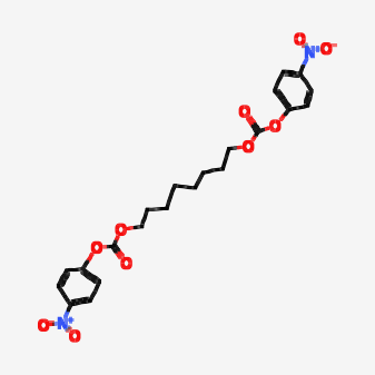 O=C(OCCCCCCCCOC(=O)Oc1ccc([N+](=O)[O-])cc1)Oc1ccc([N+](=O)[O-])cc1